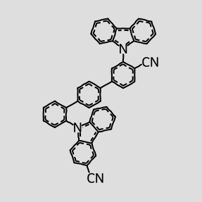 N#Cc1ccc2c(c1)c1ccccc1n2-c1ccccc1-c1ccc(-c2ccc(C#N)c(-n3c4ccccc4c4ccccc43)c2)cc1